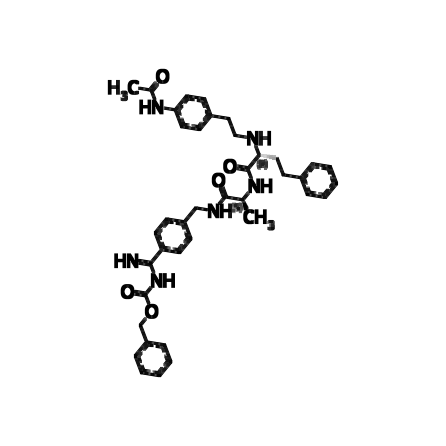 CC(=O)Nc1ccc(CCN[C@H](CCc2ccccc2)C(=O)N[C@@H](C)C(=O)NCc2ccc(C(=N)NC(=O)OCc3ccccc3)cc2)cc1